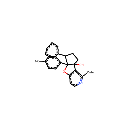 COc1nccc2c1C1(O)CCC(c3ccccc3)C1(c1ccc(C#N)cc1)O2